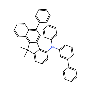 CC1(C)c2cccc(N(c3ccccc3)c3cccc(-c4ccccc4)c3)c2-c2cc(-c3ccccc3)c3ccccc3c21